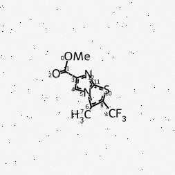 COC(=O)c1cn2c(C)c(C(F)(F)F)sc2n1